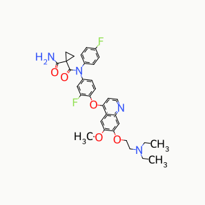 CCN(CC)CCOc1cc2nccc(Oc3ccc(N(C(=O)C4(C(N)=O)CC4)c4ccc(F)cc4)cc3F)c2cc1OC